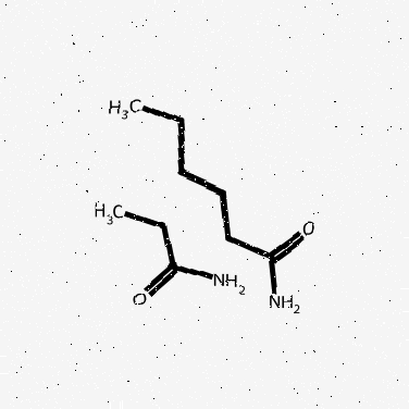 CCC(N)=O.CCCCCC(N)=O